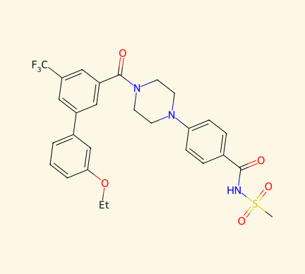 CCOc1cccc(-c2cc(C(=O)N3CCN(c4ccc(C(=O)NS(C)(=O)=O)cc4)CC3)cc(C(F)(F)F)c2)c1